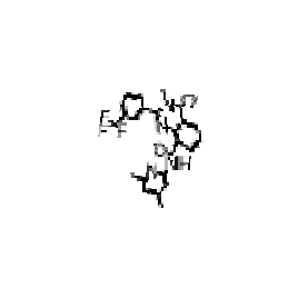 Cc1cc(C)nc(NC(=O)c2cccc3c(=O)n(C)c(-c4cccc(C(F)(F)F)c4)nc23)c1